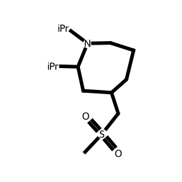 CC(C)C1CC(CS(C)(=O)=O)CCCN1C(C)C